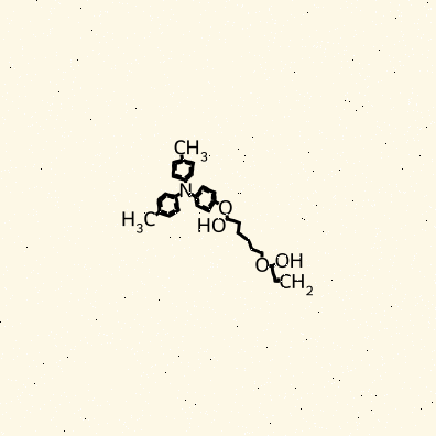 C=CC(O)OCCCCCC(O)Oc1ccc(N(c2ccc(C)cc2)c2ccc(C)cc2)cc1